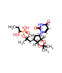 CCC(O)P(=O)(O)OC(C)(C)C[C@H]1C[C@@H](n2ccc(=O)[nH]c2=O)[C@@H]2OC(C)(C)O[C@H]12